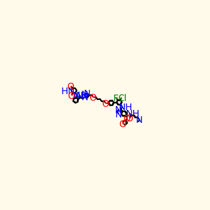 CN(C)C/C=C/C(=O)Nc1cc2c(Nc3cc(Cl)c(F)c(-c4ccc(OCCCCCOCc5cn(Cc6nn(C7CCC(=O)NC7=O)c7ccccc67)nn5)cc4)c3)ncnc2cc1OC1CCOC1